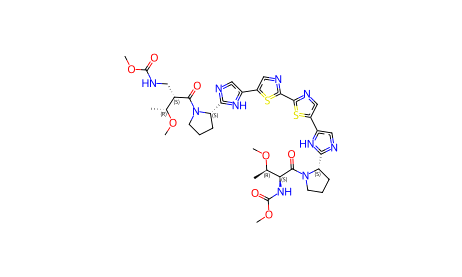 COC(=O)NC[C@H](C(=O)N1CCC[C@H]1c1ncc(-c2cnc(-c3ncc(-c4cnc([C@@H]5CCCN5C(=O)[C@@H](NC(=O)OC)[C@@H](C)OC)[nH]4)s3)s2)[nH]1)[C@@H](C)OC